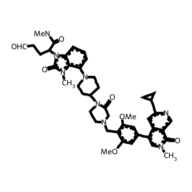 CNC(=O)C(CCC=O)n1c(=O)n(C)c2c(N3CCC(N4CCN(Cc5c(OC)cc(-c6cn(C)c(=O)c7cnc(C8CC8)cc67)cc5OC)CC4=O)CC3)cccc21